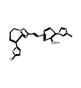 COc1cc(C=Cc2nc3n(n2)CCCC3c2ccc(Cl)s2)ccc1-n1cnc(C)c1